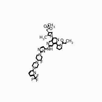 C=CC(=O)N1CCCC1c1ncc(N2C[C@H](CS(C)(=O)=O)[C@H]2C)c2cnc(Nc3ccnc(N4CC[C@@H](N5CCN(c6cccc(C(F)(F)F)n6)CC5)[C@@H](F)C4)n3)cc12